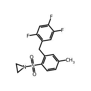 Cc1ccc(S(=O)(=O)N2CC2)c(Cc2cc(F)c(F)cc2F)c1